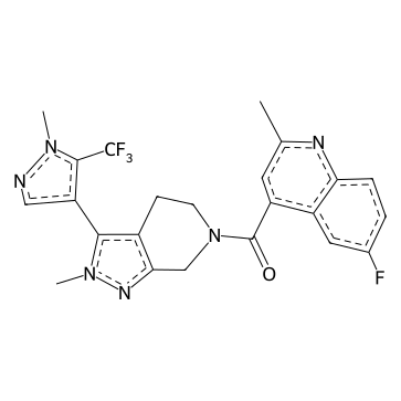 Cc1cc(C(=O)N2CCc3c(nn(C)c3-c3cnn(C)c3C(F)(F)F)C2)c2cc(F)ccc2n1